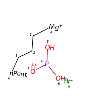 CCCCCCC[CH2][Mg+].OP(O)O.[Br-]